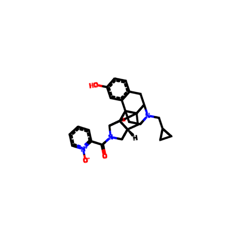 O=C(c1cccc[n+]1[O-])N1C[C@H]2CC34CCC1C2C31CCN(CC2CC2)C4Cc2ccc(O)cc21